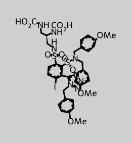 COc1ccc(CN(Cc2ccc(OC)cc2)S(=O)(=O)c2c(S(=O)(=O)NC[C@@H](CNC(=O)O)NC(=O)O)ccc(I)c2-c2nnnn2Cc2ccc(OC)cc2)cc1